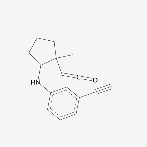 C#Cc1cccc(NC2CCCC2(C)C=C=O)c1